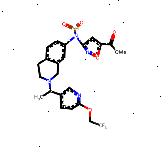 COC(=O)c1cc(N(c2ccc3c(c2)CN(C(C)c2ccc(OCC(F)(F)F)nc2)CC3)[SH](=O)=O)no1